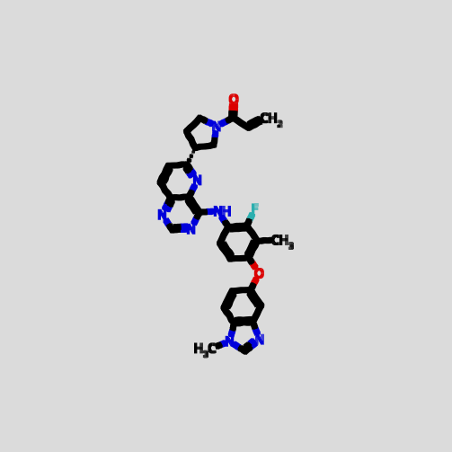 C=CC(=O)N1CC[C@@H](c2ccc3ncnc(Nc4ccc(Oc5ccc6c(c5)ncn6C)c(C)c4F)c3n2)C1